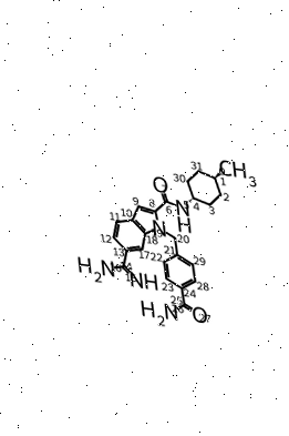 C[C@H]1CC[C@H](NC(=O)c2cc3ccc(C(=N)N)cc3n2Cc2ccc(C(N)=O)cc2)CC1